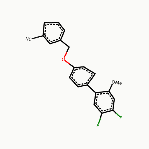 COc1cc(F)c(F)cc1-c1ccc(OCc2cccc(C#N)c2)cc1